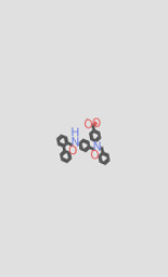 COC(=O)c1ccc(N(Cc2ccccc2)C(=O)c2ccc(NC(=O)c3ccccc3-c3ccccc3)cc2)cc1